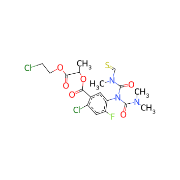 CC(OC(=O)c1cc(N(C(=O)N(C)C)C(=O)N(C)C=S)c(F)cc1Cl)C(=O)OCCCl